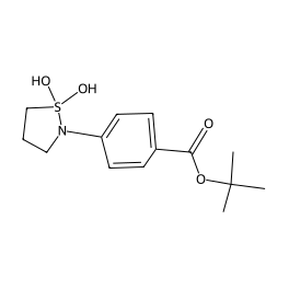 CC(C)(C)OC(=O)c1ccc(N2CCCS2(O)O)cc1